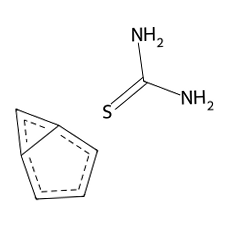 NC(N)=S.c1cc2cc-2c1